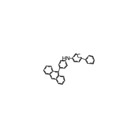 c1ccc(-c2ccc(Nc3ccc(-c4c5ccccc5cc5ccccc45)cc3)cc2)cc1